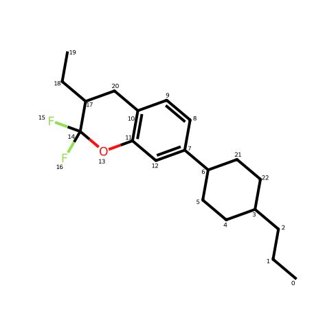 CCCC1CCC(c2ccc3c(c2)OC(F)(F)C(CC)C3)CC1